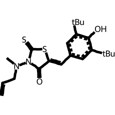 C=CCN(C)N1C(=O)C(=Cc2cc(C(C)(C)C)c(O)c(C(C)(C)C)c2)SC1=S